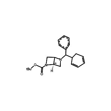 CC(C)(C)OC(=O)N1CC2[C@H]1CN2C(c1ccccc1)C1C=CC=CC1